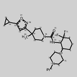 CC(C)N1CCN(C2CCCC(F)(F)C2NC(=O)N2CCC(C)(c3cc(C4CC4)on3)CC2)CC1